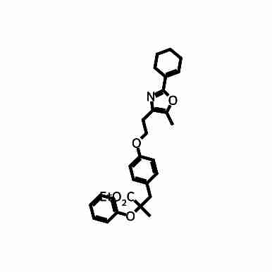 CCOC(=O)C(C)(Cc1ccc(OCCc2nc(C3=CCCCC3)oc2C)cc1)Oc1ccccc1